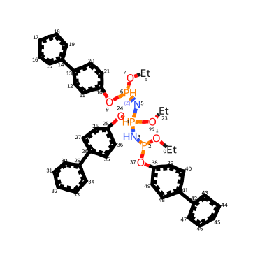 CCOP(N[PH](/N=[PH](/OCC)Oc1ccc(-c2ccccc2)cc1)(OCC)Oc1ccc(-c2ccccc2)cc1)Oc1ccc(-c2ccccc2)cc1